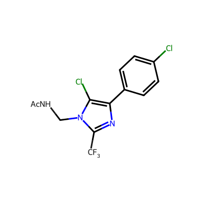 CC(=O)NCn1c(C(F)(F)F)nc(-c2ccc(Cl)cc2)c1Cl